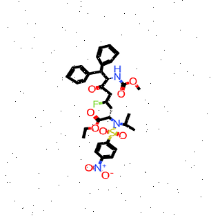 CCOC(=O)[C@H](CC(F)CC(=O)[C@@H](NC(=O)OC)C(c1ccccc1)c1ccccc1)N(C(C)C)S(=O)(=O)c1ccc([N+](=O)[O-])cc1